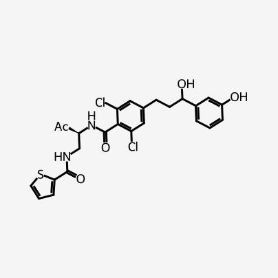 CC(=O)[C@H](CNC(=O)c1cccs1)NC(=O)c1c(Cl)cc(CCC(O)c2cccc(O)c2)cc1Cl